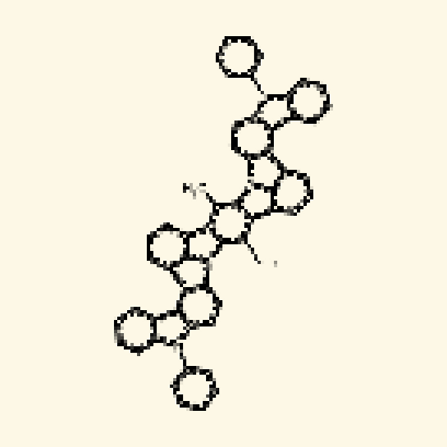 Cc1c2c3cccc4c5c6c7ccccc7n(-c7ccccc7)c6ccc5n(c2c(C)c2c5cccc6c7c8c9ccccc9n(-c9ccccc9)c8ccc7n(c12)c56)c34